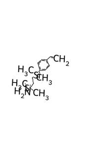 C=Cc1ccc([Si](C)(C)CC[Si](C)(C)N)cc1